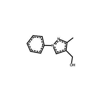 Cc1nn(-c2ccccc2)cc1CO